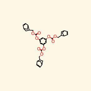 O=C(OCC1CC2C=CC1C2)Oc1cc(OC(=O)OCC2CC3C=CC2C3)cc(OC(=O)OCC2CC3C=CC2C3)c1